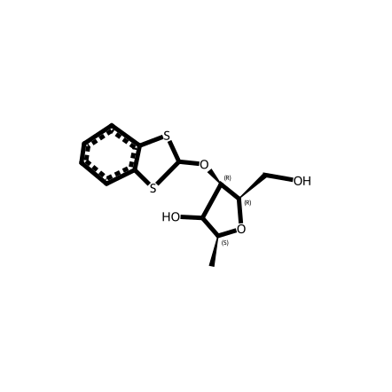 C[C@@H]1O[C@H](CO)[C@H](OC2Sc3ccccc3S2)C1O